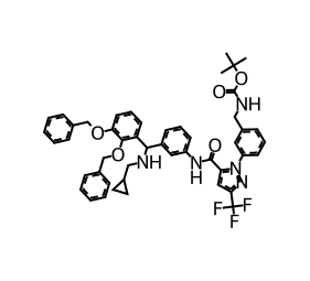 CC(C)(C)OC(=O)NCc1cccc(-n2nc(C(F)(F)F)cc2C(=O)Nc2cccc(C(NCC3CC3)c3cccc(OCc4ccccc4)c3OCc3ccccc3)c2)c1